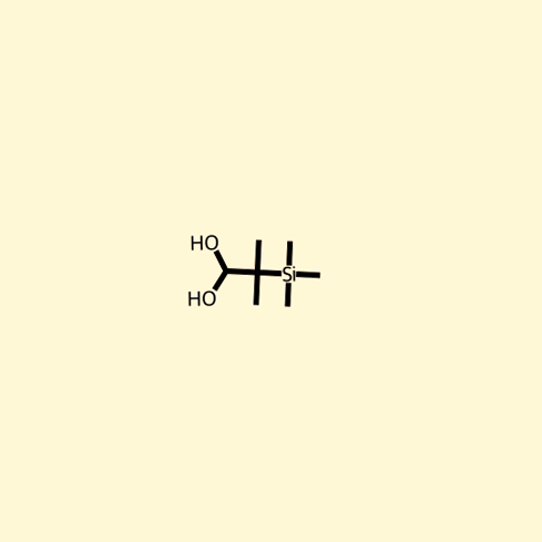 CC(C)(C(O)O)[Si](C)(C)C